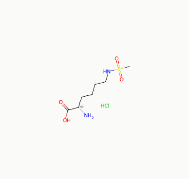 CS(=O)(=O)NCCCC[C@H](N)C(=O)O.Cl